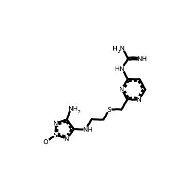 N=C(N)Nc1ccnc(CSCCNc2n[s+]([O-])nc2N)n1